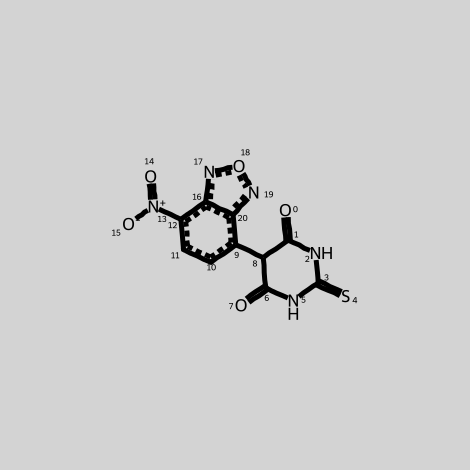 O=C1NC(=S)NC(=O)C1c1ccc([N+](=O)[O-])c2nonc12